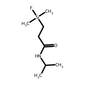 CC(C)NC(=O)CC[Si](C)(C)F